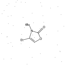 CCc1coc(=O)n1C(C)(C)C